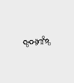 Cn1cc(CNC(=O)c2ccc(Cl)s2)nc1-c1ccc(-n2ccccc2=O)cc1